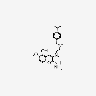 COc1cccc(/C=C(\C(=O)NN)N(C)CCN(C)Cc2ccc(C(C)C)cc2)c1O